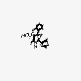 CC1=C(C(=O)O)C(c2ccccc2F)N=C(c2cscn2)N1